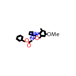 COc1cc(C)c(NC(=O)C2([N+](C)(C)CC(=O)OCc3ccccc3)CCC2)c(C)c1